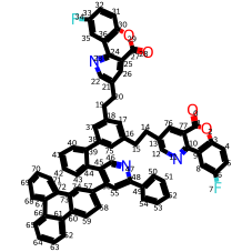 O=c1oc2ccc(F)cc2c2ncc(CCc3cc(CCc4cnc5c(c4)c(=O)oc4ccc(F)cc45)cc(-c4ccccc4-c4cnc(-c5ccccc5)cc4-c4ccc5c6ccccc6c6ccccc6c5c4)c3)cc12